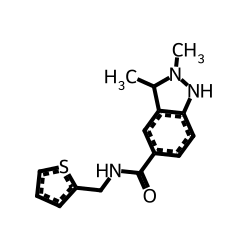 CC1c2cc(C(=O)NCc3cccs3)ccc2NN1C